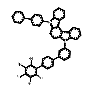 [2H]c1c([2H])c([2H])c(-c2ccc(-c3cccc(-n4c5ccccc5c5c6c7ccccc7n(-c7ccc(-c8ccccc8)cc7)c6ccc54)c3)cc2)c([2H])c1[2H]